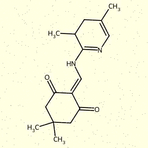 CC1=CN=C(NC=C2C(=O)CC(C)(C)CC2=O)C(C)C1